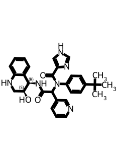 CC(C)(C)c1ccc(N(C(=O)c2c[nH]cn2)C(C(=O)N[C@@H]2c3ccccc3NC[C@@H]2O)c2cccnc2)cc1